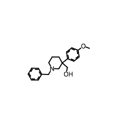 COc1ccc(C2(CO)CCCN(Cc3ccccc3)C2)cc1